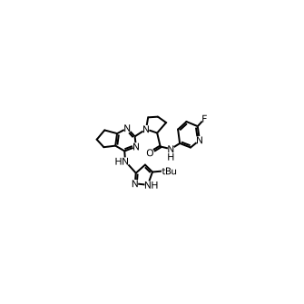 CC(C)(C)c1cc(Nc2nc(N3CCCC3C(=O)Nc3ccc(F)nc3)nc3c2CCC3)n[nH]1